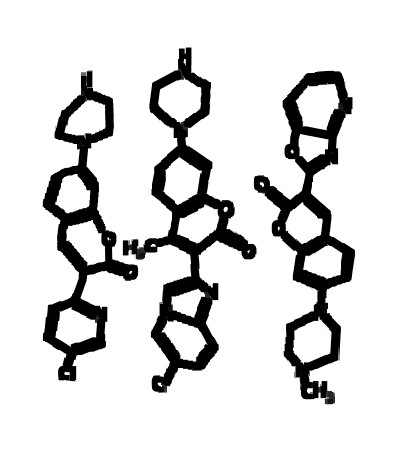 CN1CCN(c2ccc3cc(-c4nc5ncccc5o4)c(=O)oc3c2)CC1.Cc1c(-c2cn3cc(Cl)ccc3n2)c(=O)oc2cc(N3CCNCC3)ccc12.O=c1oc2cc(N3CCNCC3)ccc2cc1-c1ccc(Cl)cn1